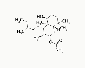 CC[C@@H](C)CC[C@H]1[C@@H](C)[C@@H](OC(N)=O)C[C@H]2C(C)(C)CC[C@H](O)[C@]12C